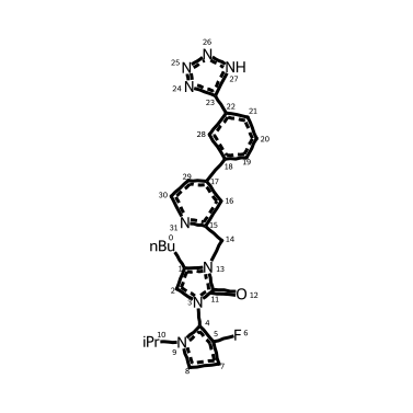 CCCCc1cn(-c2c(F)ccn2C(C)C)c(=O)n1Cc1cc(-c2cccc(-c3nnn[nH]3)c2)ccn1